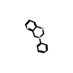 c1ccc(N2COc3cccnc3C2)cc1